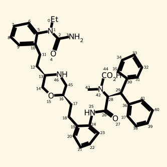 CCN(C(N)=O)c1ccccc1CC[C@@H]1CO[C@H](CCc2ccccc2NC(=O)[C@H](C(c2ccccc2)c2ccccc2)N(C)C(=O)O)CN1